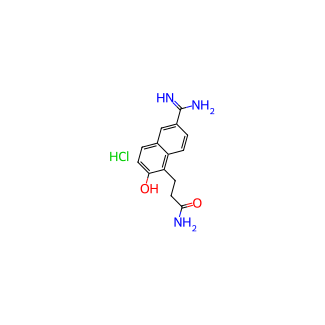 Cl.N=C(N)c1ccc2c(CCC(N)=O)c(O)ccc2c1